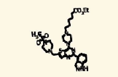 CCOC(=O)CCCCCN1CCN(c2nc(-c3cccc4[nH]ncc34)nc3cc(CN4CCN(S(C)(=O)=O)CC4)sc23)CC1